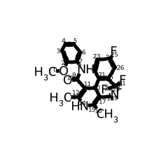 COc1ccccc1NC(=O)C1=C(C)NC(C)=C(C#N)C1c1ccc(F)cc1C(F)(F)F